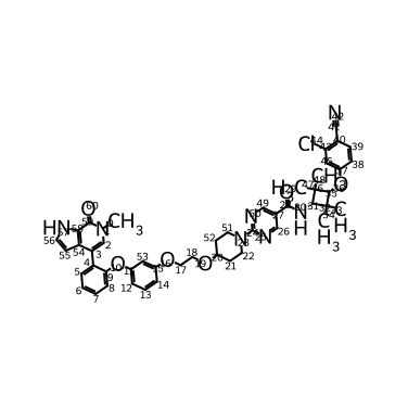 Cn1cc(-c2ccccc2Oc2cccc(OCCOC3CCN(c4ncc(C(=O)N[C@H]5C(C)(C)[C@H](Oc6ccc(C#N)c(Cl)c6)C5(C)C)cn4)CC3)c2)c2cc[nH]c2c1=O